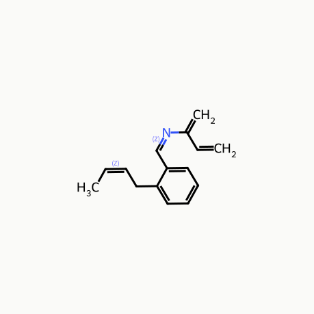 C=CC(=C)/N=C\c1ccccc1C/C=C\C